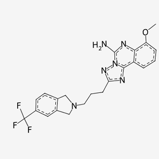 COc1cccc2c1nc(N)n1nc(CCCN3Cc4ccc(C(F)(F)F)cc4C3)nc21